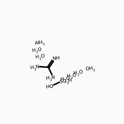 N=C(N)N.O.O.O.O.O.O.O=S(=O)(O)O.[AlH3]